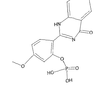 COc1ccc(-c2nc(=O)c3ccccc3[nH]2)c(OP(=O)(O)O)c1